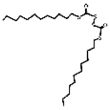 CCCCCCCCCCCCSC(=O)SSC(=O)SCCCCCCCCCCCC